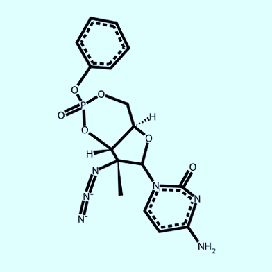 C[C@]1(N=[N+]=[N-])C(n2ccc(N)nc2=O)O[C@@H]2COP(=O)(Oc3ccccc3)O[C@H]21